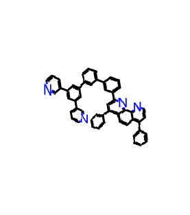 c1ccc(-c2ccnc3c2ccc2c(-c4ccccc4)cc(-c4cccc(-c5cccc(-c6cc(-c7cccnc7)cc(-c7cccnc7)c6)c5)c4)nc23)cc1